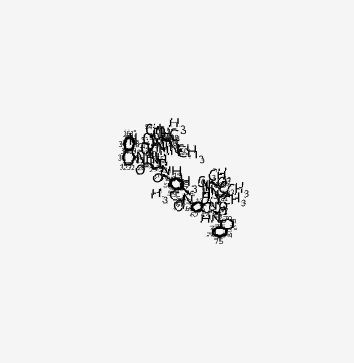 CNC(C)C(=O)NC(C(=O)N1Cc2cc(N(Cc3ccc(C(=O)N[C@H]4C[C@@H](C(=O)N[C@@H]5CCCc6ccccc65)N(C(=O)C(NC(=O)C(C)NC)C(C)(C)C)C4)cc3)C(C)=O)ccc2CC1C(=O)N[C@@H]1CCCc2ccccc21)C(C)(C)C